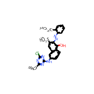 COc1nc(Cl)nc(Nc2ccc3c(O)c(N=Nc4ccccc4C(=O)O)c(S(=O)(=O)O)cc3c2)n1